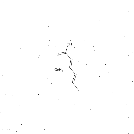 CC=CC=CC(=O)O.[GeH4]